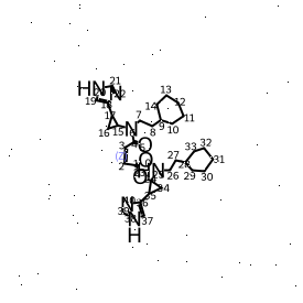 O=C(/C=C\C(=O)N(CCC1CCCCC1)C1CC1c1c[nH]cn1)OC1(NCCC2CCCCC2)CC1c1c[nH]cn1